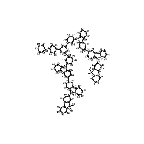 CC1(C)c2ccccc2-c2ccc(-n3c4ccccc4c4cc(-c5ccc6c(c5)c5ccccc5n6-c5cccc(-c6cc(-c7ccc(-c8ccccc8)cc7)nc(-c7cccc(-n8c9ccccc9c9cc(-c%10ccc%11c(c%10)c%10ccccc%10n%11-c%10ccc%11c(c%10)C(C)(C)c%10ccccc%10-%11)ccc98)c7)n6)c5)ccc43)cc21